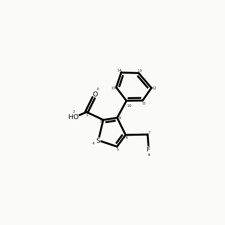 O=C(O)c1scc(CF)c1-c1ccccc1